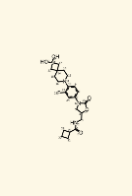 O=C(NCC1CN(c2ccc(N3CCC4(CC3)CS(O)(O)C4)c(F)c2)C(=O)O1)C1CCC1